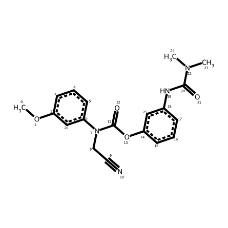 COc1cccc(N(CC#N)C(=O)Oc2cccc(NC(=O)N(C)C)c2)c1